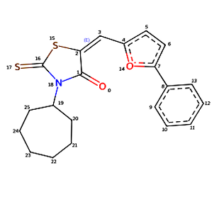 O=C1/C(=C\c2ccc(-c3ccccc3)o2)SC(=S)N1C1CCCCCC1